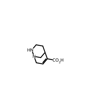 O=C(O)C1=CCN2CC1CCN2